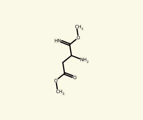 COC(=N)C(N)CC(=O)OC